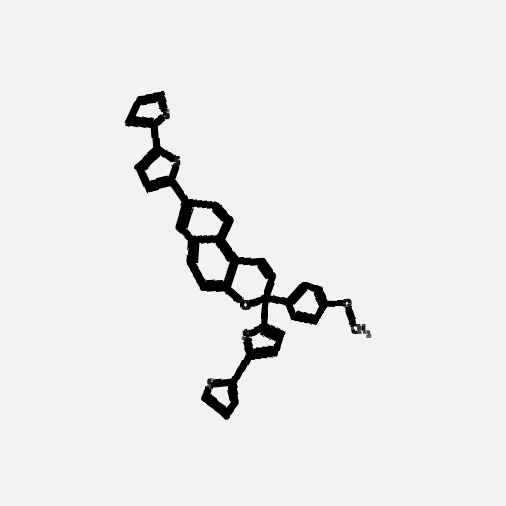 COc1ccc(C2(c3ccc(-c4cccs4)s3)C=Cc3c(ccc4cc(-c5ccc(-c6cccs6)s5)ccc34)O2)cc1